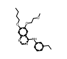 CCCCOc1cc2ncnc(Nc3cccc(CC)c3)c2cc1OCCOC